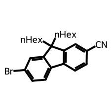 CCCCCCC1(CCCCCC)c2cc(Br)ccc2-c2ccc(C#N)cc21